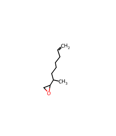 C=CCCCCC(C)C1CO1